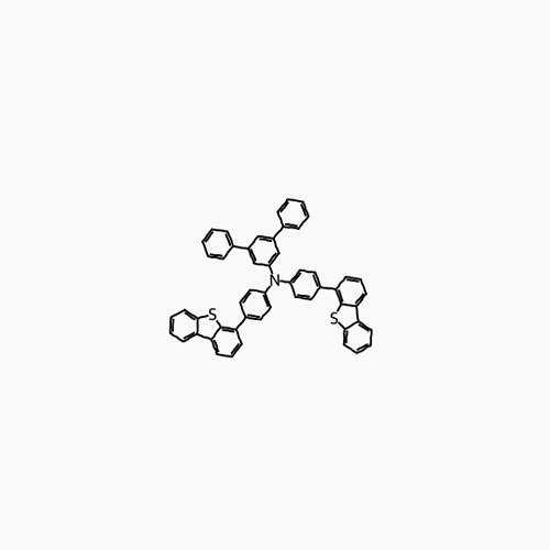 c1ccc(-c2cc(-c3ccccc3)cc(N(c3ccc(-c4cccc5c4sc4ccccc45)cc3)c3ccc(-c4cccc5c4sc4ccccc45)cc3)c2)cc1